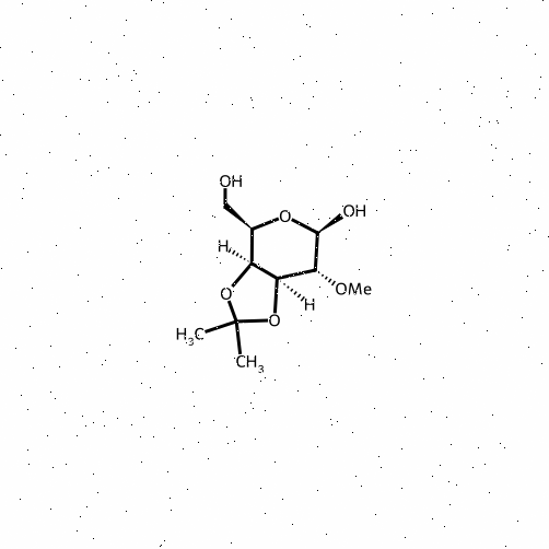 CO[C@@H]1[C@H]2OC(C)(C)O[C@H]2[C@@H](CO)O[C@H]1O